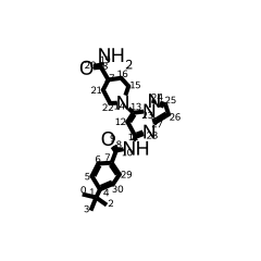 CC(C)(C)c1ccc(C(=O)Nc2cc(N3CCC(C(N)=O)CC3)n3nccc3n2)cc1